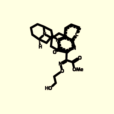 COC(=O)/C(=N\OCCO)c1nc2ccccc2n(C2CC3CCC[C@H](C2)N3C2CC3CCCC(C3)C2)c1=O